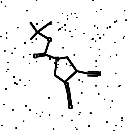 CC(C)(C)OC(=O)N1CC(=C=O)C(C#N)C1